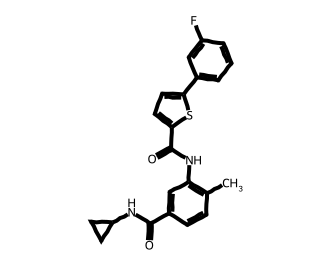 Cc1ccc(C(=O)NC2CC2)cc1NC(=O)c1ccc(-c2cccc(F)c2)s1